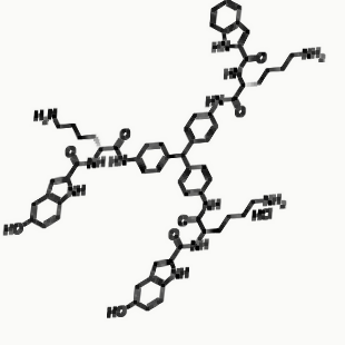 Cl.NCCCC[C@@H](NC(=O)c1cc2cc(O)ccc2[nH]1)C(=O)Nc1ccc(C(c2ccc(NC(=O)[C@@H](CCCCN)NC(=O)c3cc4cc(O)ccc4[nH]3)cc2)c2ccc(NC(=O)[C@@H](CCCCN)NC(=O)c3cc4cc(O)ccc4[nH]3)cc2)cc1